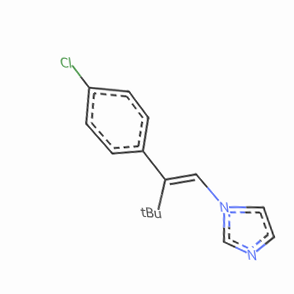 CC(C)(C)C(=Cn1ccnc1)c1ccc(Cl)cc1